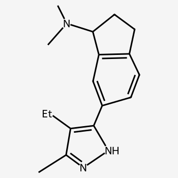 CCc1c(C)n[nH]c1-c1ccc2c(c1)C(N(C)C)CC2